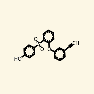 C#Cc1cccc(Oc2ccccc2S(=O)(=O)c2ccc(O)cc2)c1